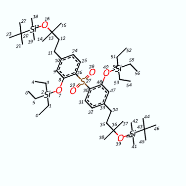 CC[Si](CC)(CC)Oc1cc(CCC(C)(C)O[Si](C)(C)C(C)(C)C)ccc1S(=O)(=O)c1ccc(CCC(C)(C)O[Si](C)(C)C(C)(C)C)cc1O[Si](CC)(CC)CC